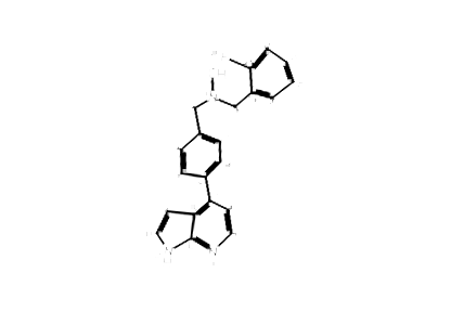 CN(Cc1ccc(-c2ccnc3[nH]ccc23)cc1)Cc1ccccc1F